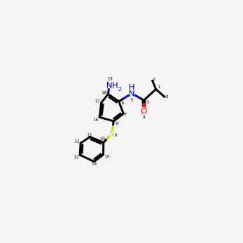 CC(C)C(=O)Nc1cc(Sc2ccccc2)ccc1N